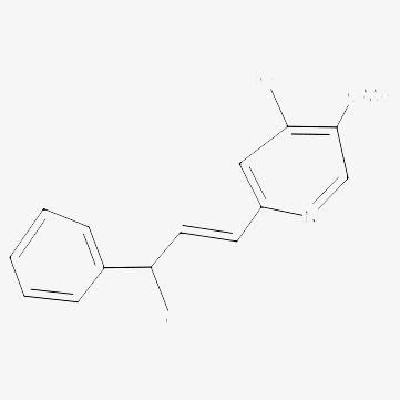 COc1cnc(/C=C/C(O)c2ccccc2)cc1O